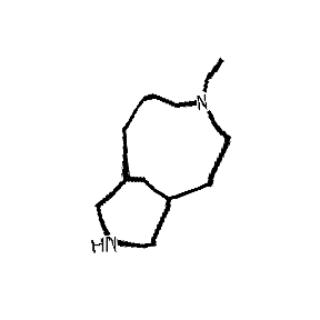 CN1CCC2CNCC2CC1